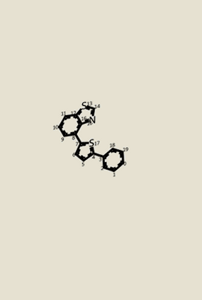 c1ccc(-c2ccc(-c3cccc4scnc34)s2)cc1